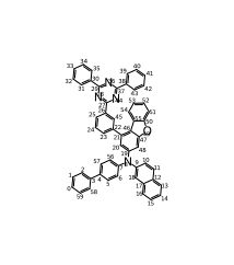 c1ccc(-c2ccc(N(c3ccc4ccccc4c3)c3cc(-c4cccc(-c5nc(-c6ccccc6)nc(-c6ccccc6)n5)c4)c4c(c3)oc3ccccc34)cc2)cc1